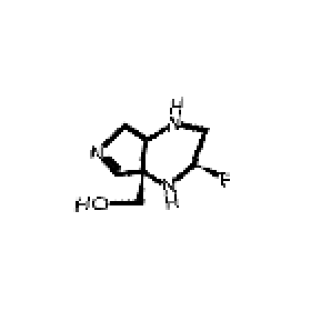 OC[C@@]12C=NCC1NC[C@@H](F)N2